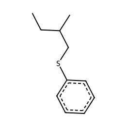 CCC(C)CSc1ccccc1